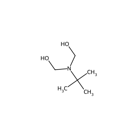 CC(C)(C)N(CO)CO